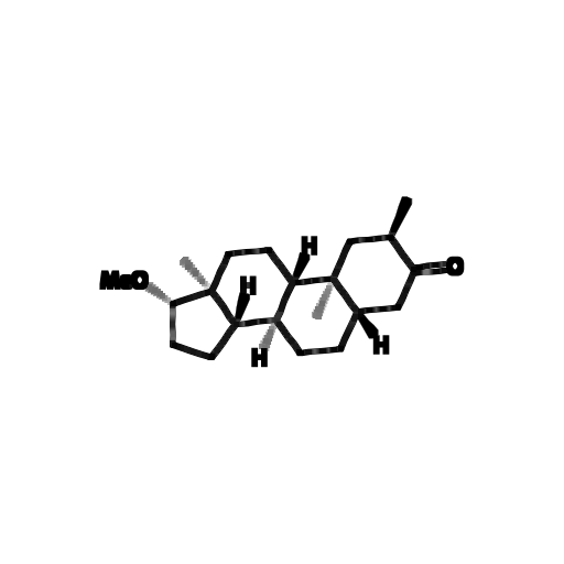 CO[C@H]1CC[C@H]2[C@@H]3CC[C@H]4CC(=O)[C@H](C)C[C@]4(C)[C@H]3CC[C@]12C